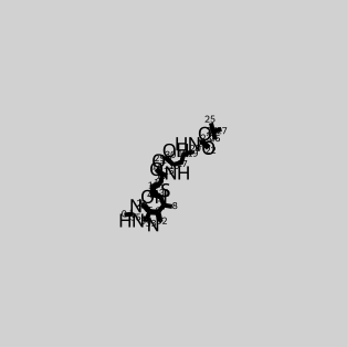 Cc1nc(O)c2c(C(C)c3ccc(C(=O)NC(CCCNC(=O)OC(C)(C)C)C(=O)O)s3)cnc-2[nH]1